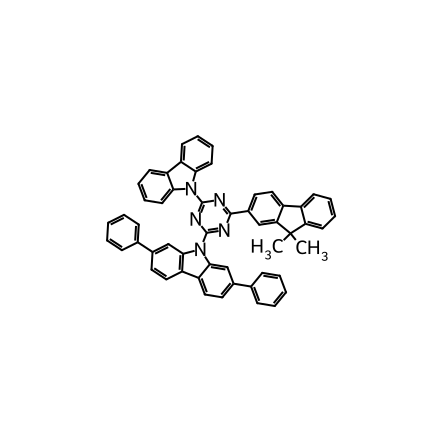 CC1(C)c2ccccc2-c2ccc(-c3nc(-n4c5ccccc5c5ccccc54)nc(-n4c5cc(-c6ccccc6)ccc5c5ccc(-c6ccccc6)cc54)n3)cc21